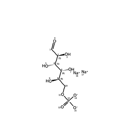 O=C[C@@H](O)[C@@H](O)[C@H](O)[C@H](O)COP(=O)([O-])[O-].[Na+].[Na+]